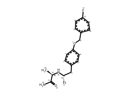 CC[C@@H](Cc1ccc(OCc2ccc(F)cc2)cc1)N[C@H](C)C(N)=O